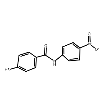 O=C(Nc1ccc([N+](=O)[O-])cc1)c1ccc(S)cc1